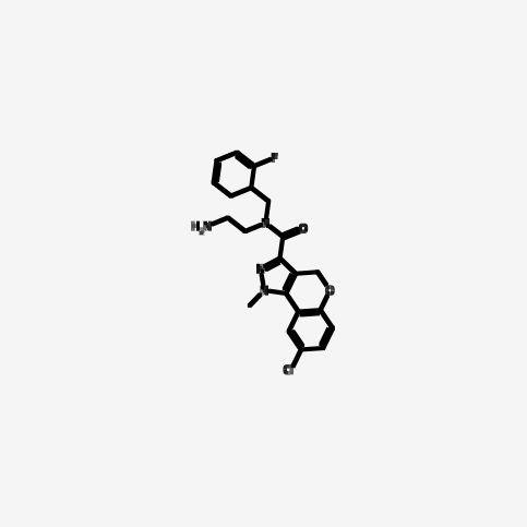 Cn1nc(C(=O)N(CCN)CC2CC=CC=C2F)c2c1-c1cc(Cl)ccc1OC2